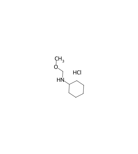 COCNC1CCCCC1.Cl